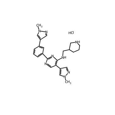 Cl.Cn1cc(-c2cccc(-c3ncc(-c4cnn(C)c4)c(NCC4CCCNC4)n3)c2)cn1